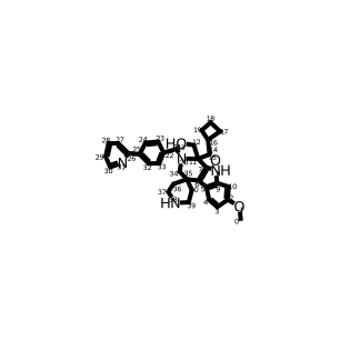 COc1ccc2c3c([nH]c2c1)C(CO)(C(=O)C1CCC1)N(Cc1ccc(-c2ccccn2)cc1)CC31CCNCC1